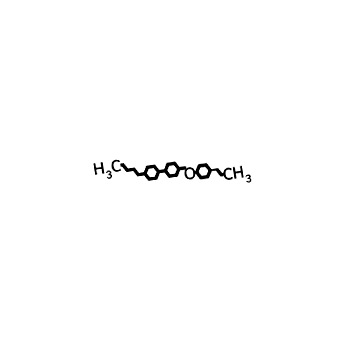 CCCCCC1CCC(C2CCC(CO[C@H]3CC[C@H](CCC)CC3)CC2)CC1